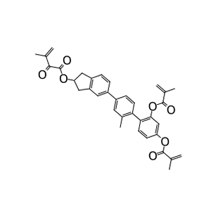 C=C(C)C(=O)Oc1ccc(-c2ccc(-c3ccc4c(c3)CC(OC(=O)C(=O)C(=C)C)C4)cc2C)c(OC(=O)C(=C)C)c1